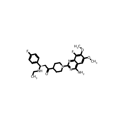 CCN[C@H](CC(=O)C1CCN(c2nc(N)c3cc(OC)c(OC)c(F)c3n2)CC1)c1ccc(F)cc1